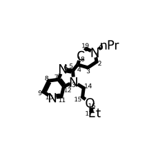 CCCN1CCC(c2nc3ccncc3n2CCOCC)CC1